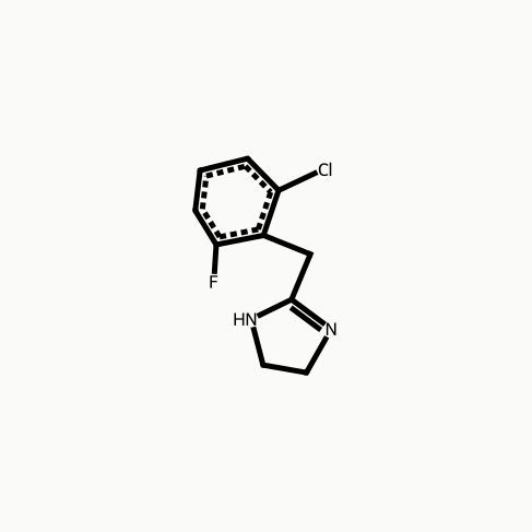 Fc1cccc(Cl)c1CC1=NCCN1